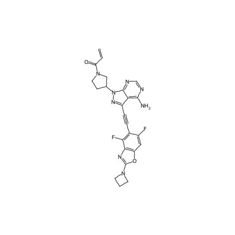 C=CC(=O)N1CCC(n2nc(C#Cc3c(F)cc4oc(N5CCC5)nc4c3F)c3c(N)ncnc32)C1